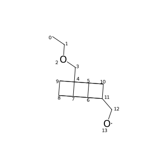 CCOCC12C3C4C1C1C2C3C41C[O]